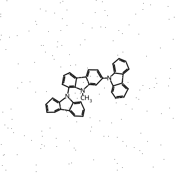 Cn1c2cc(-n3c4ccccc4c4ccccc43)ccc2c2cccc(-n3c4ccccc4c4ccccc43)c21